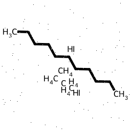 C.C.C.C.CCCCCCCCCCC.I.I